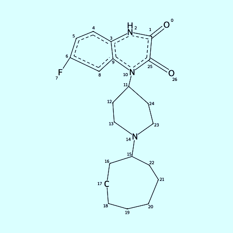 O=c1[nH]c2ccc(F)cc2n(C2CCN(C3CCCCCCC3)CC2)c1=O